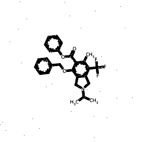 Cc1c(C(=O)Oc2ccccc2)c(OCc2ccccc2)c2c(c1C(F)(F)F)CN(C(C)C)C2